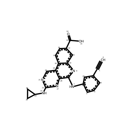 C#Cc1cccc(Nc2nc3cc(C(=O)O)ccc3c3cnc(NC4CC4)nc23)c1